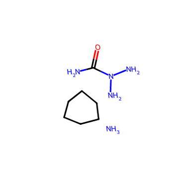 C1CCCCC1.N.NC(=O)N(N)N